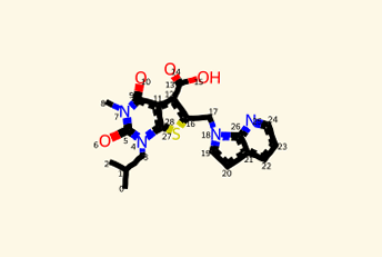 CC(C)Cn1c(=O)n(C)c(=O)c2c(C(=O)O)c(Cn3ccc4cccnc43)sc21